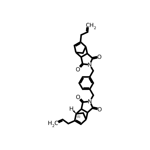 C=CCC1=CC2CC1C1C(=O)N(Cc3cccc(CN4C(=O)C5C6C=C(CC=C)[C@@H](C6)C5C4=O)c3)C(=O)C21